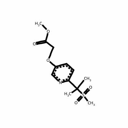 COC(=O)COc1ccc(C(C)(C)S(C)(=O)=O)nc1